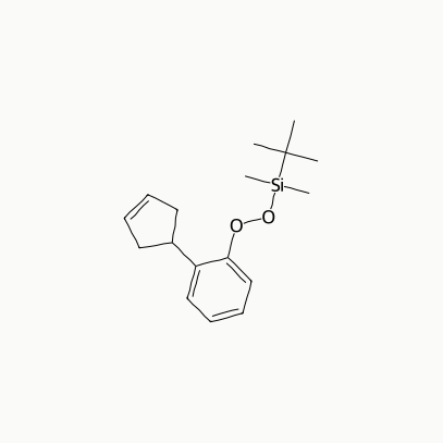 CC(C)(C)[Si](C)(C)OOc1ccccc1C1CC=CC1